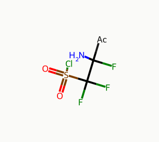 CC(=O)C(N)(F)C(F)(F)S(=O)(=O)Cl